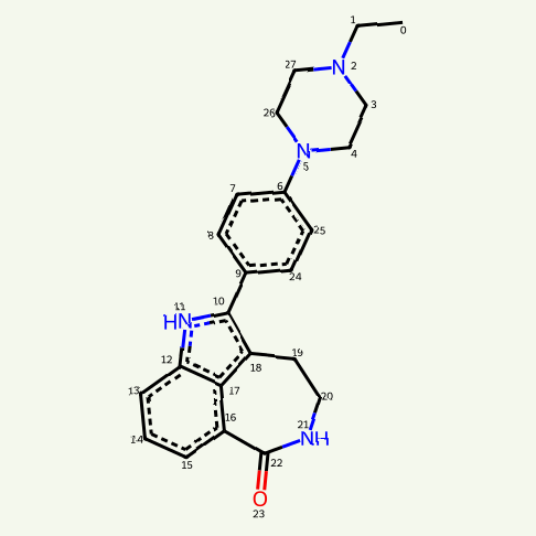 CCN1CCN(c2ccc(-c3[nH]c4cccc5c4c3CCNC5=O)cc2)CC1